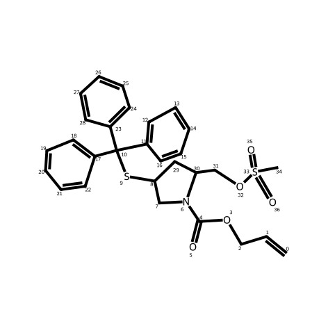 C=CCOC(=O)N1CC(SC(c2ccccc2)(c2ccccc2)c2ccccc2)CC1COS(C)(=O)=O